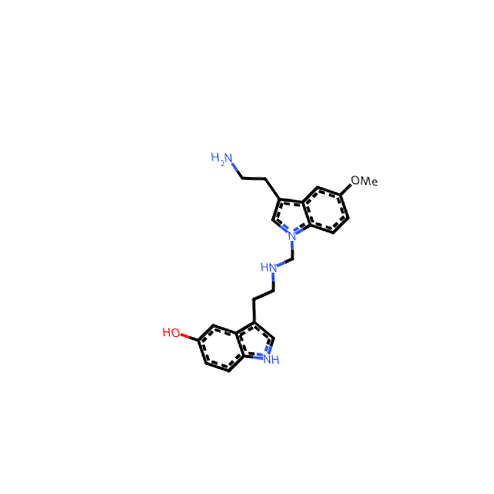 COc1ccc2c(c1)c(CCN)cn2CNCCc1c[nH]c2ccc(O)cc12